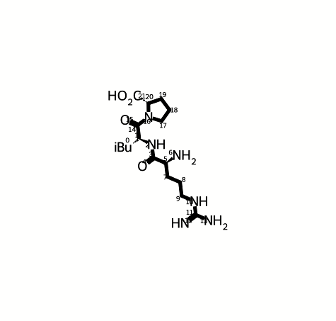 CC[C@@H](C)[C@H](NC(=O)[C@@H](N)CCCNC(=N)N)C(=O)N1CCC[C@H]1C(=O)O